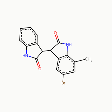 Cc1cc(Br)cc2c1NC(=O)C2C1C(=O)Nc2ccccc21